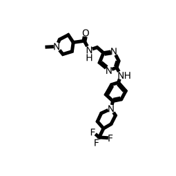 CN1CCC(C(=O)NCc2cnc(Nc3ccc(N4CCC(C(F)(F)F)CC4)cc3)cn2)CC1